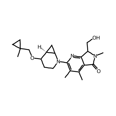 Cc1c(N2CCC(OCC3(C)CC3)[C@H]3CC32)nc2c(c1C)C(=O)N(C)C2CO